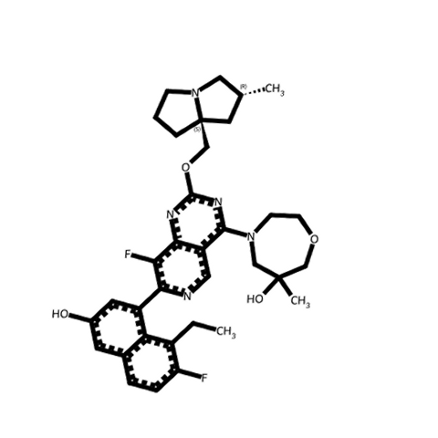 CCc1c(F)ccc2cc(O)cc(-c3ncc4c(N5CCOCC(C)(O)C5)nc(OC[C@@]56CCCN5C[C@H](C)C6)nc4c3F)c12